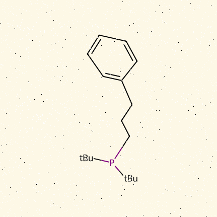 CC(C)(C)P(CCCc1ccccc1)C(C)(C)C